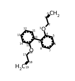 C=CCOc1[c]cccc1-c1ccccc1OCC=C